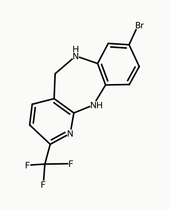 FC(F)(F)c1ccc2c(n1)Nc1ccc(Br)cc1NC2